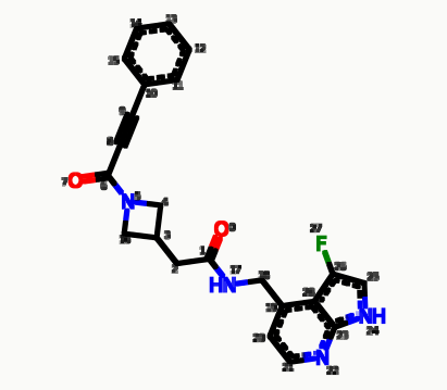 O=C(CC1CN(C(=O)C#Cc2ccccc2)C1)NCc1ccnc2[nH]cc(F)c12